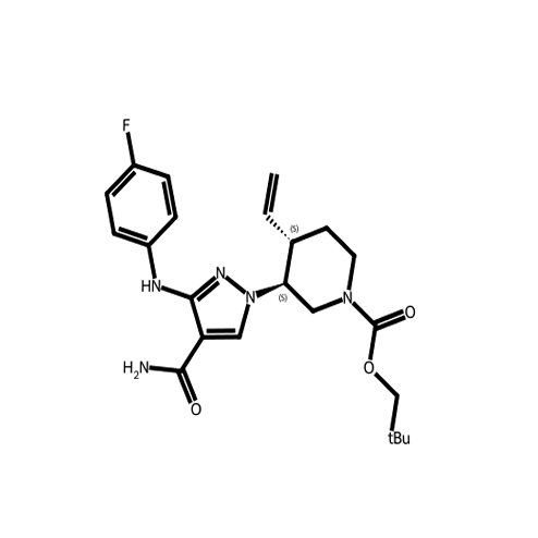 C=C[C@@H]1CCN(C(=O)OCC(C)(C)C)C[C@H]1n1cc(C(N)=O)c(Nc2ccc(F)cc2)n1